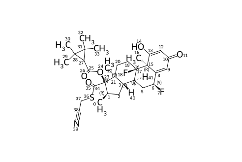 C[C@@H]1C[C@H]2[C@@H]3C[C@H](F)C4=CC(=O)C=C(O)[C@]4(C)[C@@]3(F)CC[C@]2(C)[C@@]1(OC(=O)C1C(C)(C)C1(C)C)C(=O)SCC#N